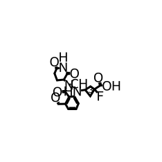 CN(C(=O)c1c(C=O)cccc1NC1CC(F)(C(=O)O)C1)C1CCC(=O)NC1=O